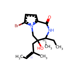 C/C=C(/C)CC1(O)Cn2c(Br)ccc2C(=O)N[C@@]1(C)CC